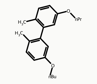 CCCCOc1ccc(C)c(-c2cc(OCCC)ccc2C)c1